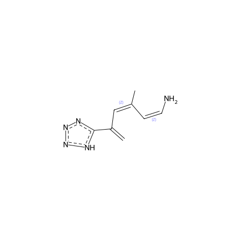 C=C(/C=C(C)\C=C/N)c1nnn[nH]1